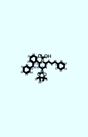 CC1(C)OB(C2CC(CCCc3ccccc3)N(C(=O)O)C(c3ccccc3Cc3ccccc3)C2)OC1(C)C